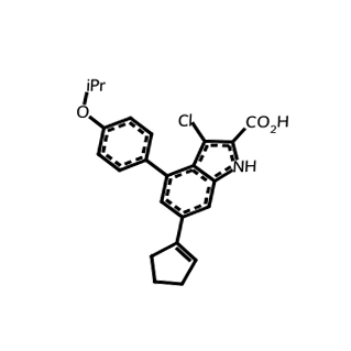 CC(C)Oc1ccc(-c2cc(C3=CCCC3)cc3[nH]c(C(=O)O)c(Cl)c23)cc1